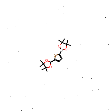 CC1(C)OB(c2ccc(C3OC(C)(C)C(C)(C)O3)s2)OC1(C)C